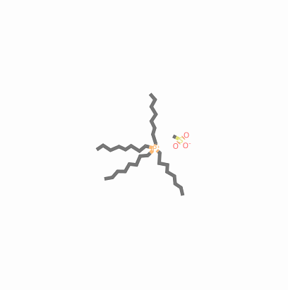 CCCCCCCC[P+](CCCCCCCC)(CCCCCCCC)CCCCCCCC.CS(=O)(=O)[O-]